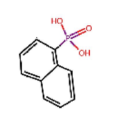 O=P(O)(O)c1[c]ccc2ccccc12